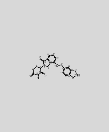 C=C1CCC(N2Cc3c(OCc4ccc5c(c4)CNC5)cccc3C2=O)C(=O)N1